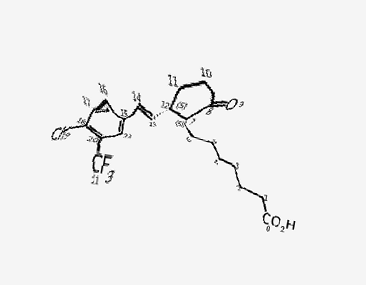 O=C(O)CCCCCC[C@@H]1C(=O)CC[C@H]1C=Cc1ccc(Cl)c(C(F)(F)F)c1